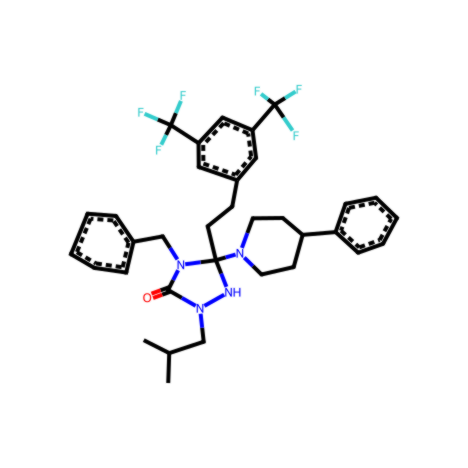 CC(C)CN1NC(CCc2cc(C(F)(F)F)cc(C(F)(F)F)c2)(N2CCC(c3ccccc3)CC2)N(Cc2ccccc2)C1=O